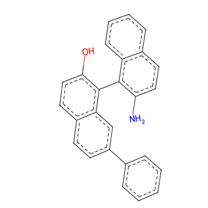 Nc1ccc2ccccc2c1-c1c(O)ccc2ccc(-c3ccccc3)cc12